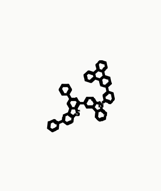 c1ccc(-c2ccc3sc4c(-c5ccc6c(c5)c5ccccc5n6-c5cccc(-c6ccc7c8ccccc8c8ccccc8c7c6)c5)cc(-c5ccccc5)cc4c3c2)cc1